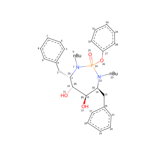 CCCCN1[C@@H](Cc2ccccc2)[C@@H](O)[C@H](O)[C@H](Cc2ccccc2)N(CCCC)P1(=O)Oc1ccccc1